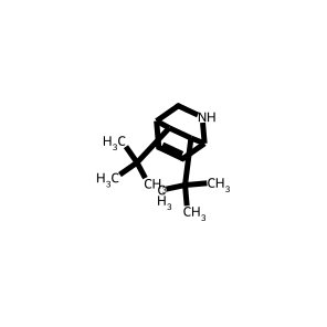 CC(C)(C)C1C2C=CC(NC2)C1C(C)(C)C